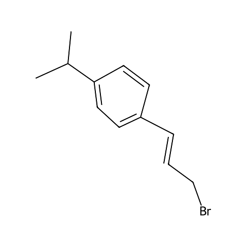 CC(C)c1ccc(/C=C/CBr)cc1